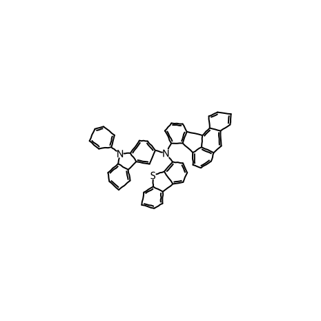 c1ccc(-n2c3ccccc3c3cc(N(c4cccc5c4-c4cccc6cc7ccccc7c-5c46)c4cccc5c4sc4ccccc45)ccc32)cc1